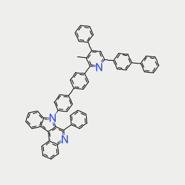 Cc1c(-c2ccccc2)cc(-c2ccc(-c3ccccc3)cc2)nc1-c1ccc(-c2ccc(-n3c4ccccc4c4c5ccccc5nc(-c5ccccc5)c43)cc2)cc1